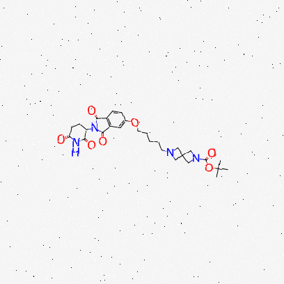 CC(C)(C)OC(=O)N1CC2(CN(CCCCCOc3ccc4c(c3)C(=O)N(C3CCC(=O)NC3=O)C4=O)C2)C1